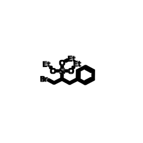 CCO[Si](OCC)(OCC)C(CBr)Cc1ccccc1